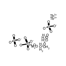 O.O.O.O.O.O.O.O.O=S(=O)([O-])[O-].O=S(=O)([O-])[O-].O=S(=O)([O-])[O-].[Tb+3].[Tb+3]